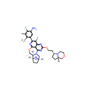 Cc1c(F)c(N)cc(-c2nc3c4c(nc(OCC[C@@H]5CC[C@H]6COCCN56)nc4c2F)N2C[C@H]4CC[C@H](N4)[C@H]2[C@H](C)O3)c1C(F)(F)F